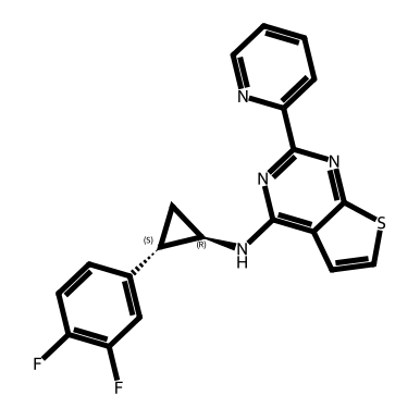 Fc1ccc([C@@H]2C[C@H]2Nc2nc(-c3ccccn3)nc3sccc23)cc1F